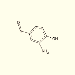 Nc1cc(N=O)ccc1O